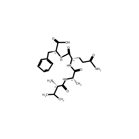 CC(C)[C@H](N)C(=O)N[C@@H](C)C(=O)N[C@@H](CCC(N)=O)C(=O)N[C@@H](Cc1ccccc1)C(=O)O